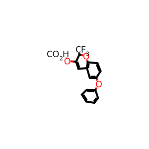 O=C(O)OC1=Cc2cc(Oc3ccccc3)ccc2OC1C(F)(F)F